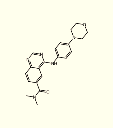 CN(C)C(=O)c1ccc2ncnc(Nc3ccc(N4CCOCC4)cc3)c2c1